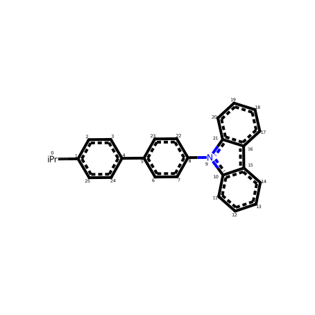 CC(C)c1ccc(-c2ccc(-n3c4ccccc4c4ccccc43)cc2)cc1